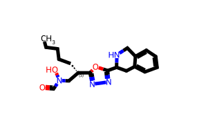 CCCCC[C@@H](CN(O)C=O)c1nnc(C2Cc3ccccc3CN2)o1